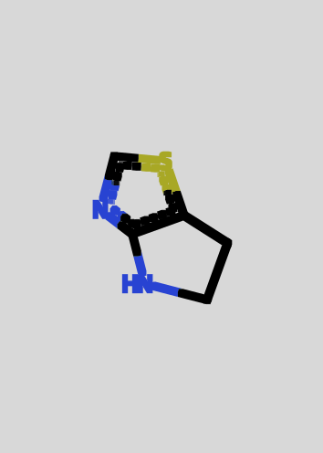 c1nc2c(s1)CCN2